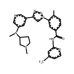 Cc1ccc(C(=O)Nc2cc(C(F)(F)F)ccn2)cc1-n1cc(-c2cncc(N(C)C3CCN(C)C3)c2)nn1